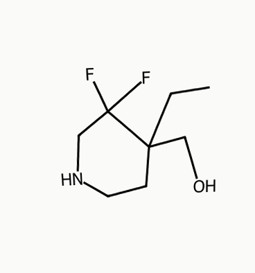 CCC1(CO)CCNCC1(F)F